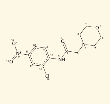 O=C(CN1CCOCC1)Nc1ccc([N+](=O)[O-])cc1Cl